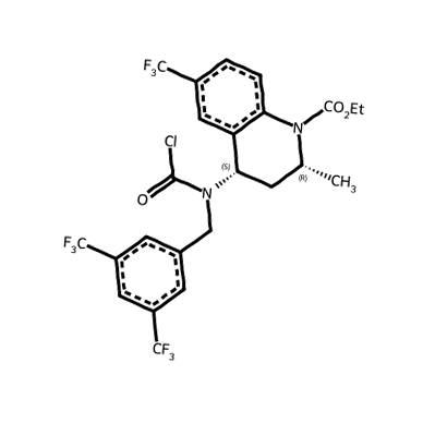 CCOC(=O)N1c2ccc(C(F)(F)F)cc2[C@@H](N(Cc2cc(C(F)(F)F)cc(C(F)(F)F)c2)C(=O)Cl)C[C@H]1C